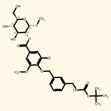 COc1cc(C(=O)O[C@H]2[C@@H](OC)O[C@H](CO)[C@@H](O)[C@@H]2O)cc(Cl)c1OCc1cccc(CNC(=O)OC(C)(C)C)c1